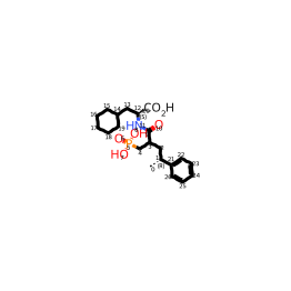 C[C@H](CC(CP(=O)(O)O)C(=O)N[C@@H](CC1CCCCC1)C(=O)O)c1ccccc1